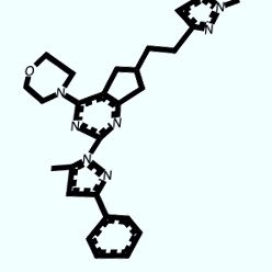 Cc1cc(-c2ccccc2)nn1-c1nc2c(c(N3CCOCC3)n1)CC(CCc1ccn(C)n1)C2